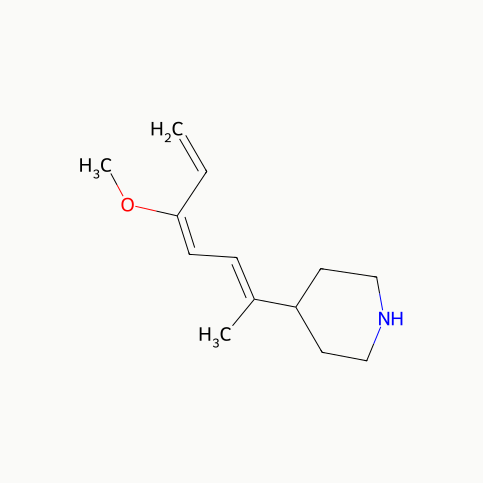 C=C/C(=C\C=C(/C)C1CCNCC1)OC